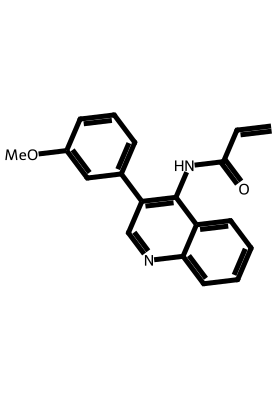 C=CC(=O)Nc1c(-c2cccc(OC)c2)cnc2ccccc12